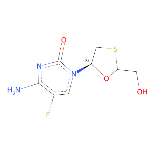 Nc1nc(=O)n([C@H]2CSC(CO)O2)cc1F